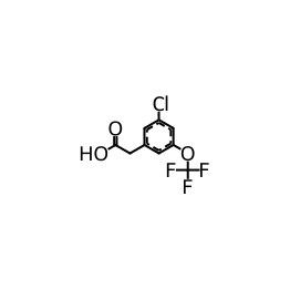 O=C(O)Cc1cc(Cl)cc(OC(F)(F)F)c1